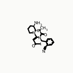 CNC(=O)N(Cc1ccccc1C#N)/C(=C\C(=O)I)N1CCC[C@@H](N)C1